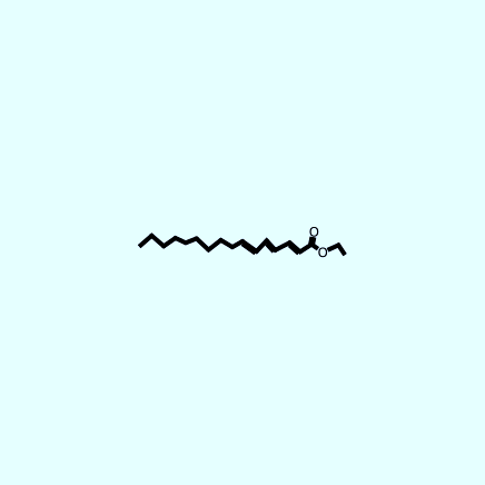 CCCCCCCCCC=CC=CC=CC(=O)OCC